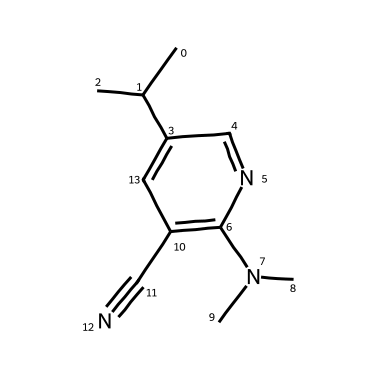 CC(C)c1cnc(N(C)C)c(C#N)c1